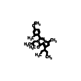 CCC(CC)c1cc(C)n2nc(-c3ccc(OC)cc3C)n(CC(C)C)c(=O)c12